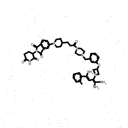 Cc1ccccc1/C(N)=C/C(=C(N)N)N1CC(Oc2cccc(CN3CCN(C(=O)CCC4CCN(c5ccc6c(c5)C(=O)N(C5CCC(=O)NC5=O)C6=O)CC4)CC3)c2)C1